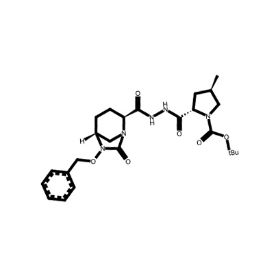 C[C@@H]1C[C@@H](C(=O)NNC(=O)[C@@H]2CC[C@@H]3CN2C(=O)N3OCc2ccccc2)N(C(=O)OC(C)(C)C)C1